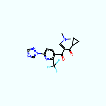 CN(C)C=C(C(=O)c1ccc(-n2cncn2)nc1C(F)(F)F)C(=O)C1CC1